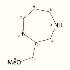 COCC1CNCCC[N]1